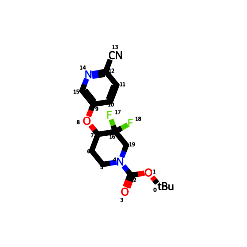 CC(C)(C)OC(=O)N1CCC(Oc2ccc(C#N)nc2)C(F)(F)C1